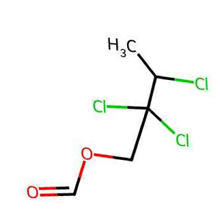 CC(Cl)C(Cl)(Cl)COC=O